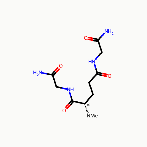 CN[C@@H](CCC(=O)NCC(N)=O)C(=O)NCC(N)=O